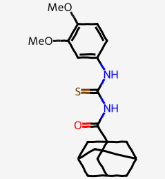 COc1ccc(NC(=S)NC(=O)C23CC4CC(CC(C4)C2)C3)cc1OC